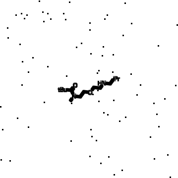 CC(C)CNCCOCCN(C)C(=O)C(C)(C)C